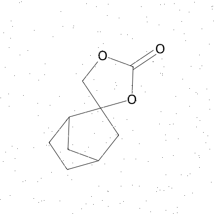 O=C1OCC2(CC3CCC2C3)O1